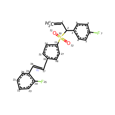 C=CC(c1ccc(F)cc1)S(=O)(=O)c1ccc(/C=C/c2ccccc2F)cc1